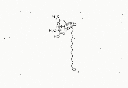 CCCCCCCCCCCCCS(=O)(=O)N[C@H](CC(N)=O)C(=O)N[C@@H](C)C(=O)O